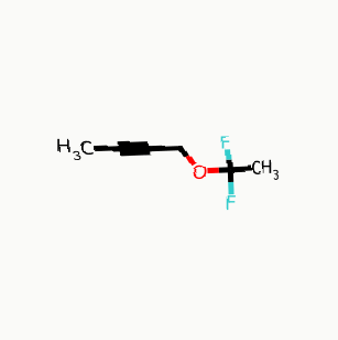 CC#CCOC(C)(F)F